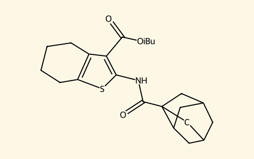 CC(C)COC(=O)c1c(NC(=O)C23CC4CC(CC2C4)C3)sc2c1CCCC2